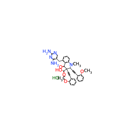 COc1ccccc1C#CC1N(C)c2cccc(Cc3cnc(N)nc3N)c2C(=O)C1(C#Cc1ccccc1OC)C(=O)O.Cl